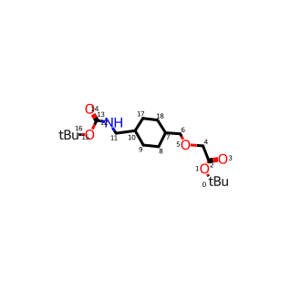 CC(C)(C)OC(=O)COCC1CCC(CNC(=O)OC(C)(C)C)CC1